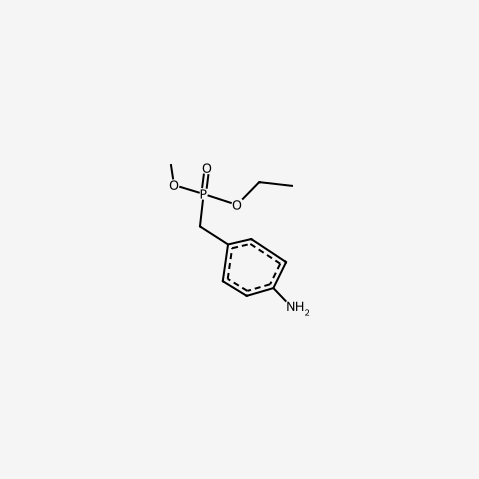 CCOP(=O)(Cc1ccc(N)cc1)OC